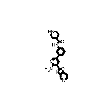 Nc1ncc(-c2cccc(NC(=O)C3CCNCC3)c2)cc1-c1nc2cnccc2o1